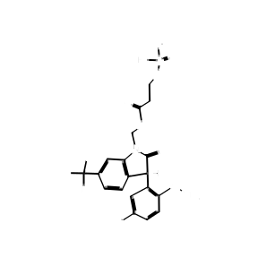 COc1ccc(Cl)cc1[C@]1(F)C(=O)N(COC(=O)CCOP(=O)(O)O)c2cc(C(F)(F)F)ccc21